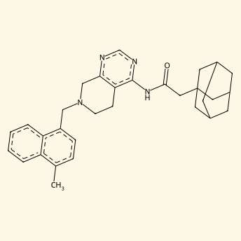 Cc1ccc(CN2CCc3c(ncnc3NC(=O)CC34CC5CC(CC(C5)C3)C4)C2)c2ccccc12